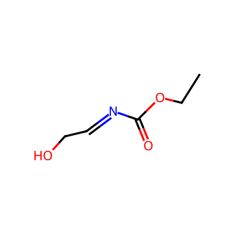 CCOC(=O)N=CCO